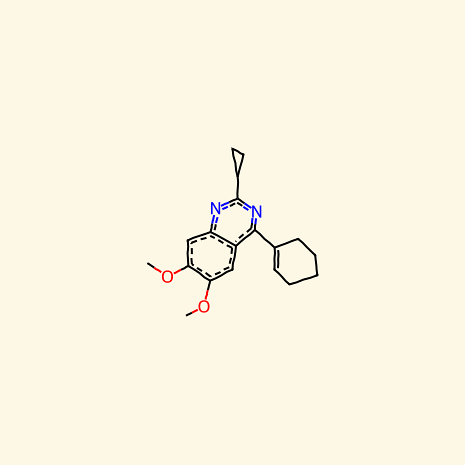 COc1cc2nc(C3CC3)nc(C3=CCCCC3)c2cc1OC